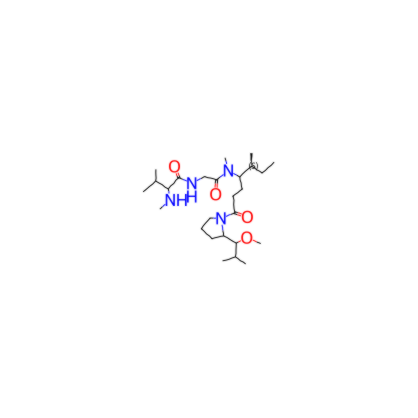 CC[C@H](C)C(CCC(=O)N1CCCC1C(OC)C(C)C)N(C)C(=O)CNC(=O)C(NC)C(C)C